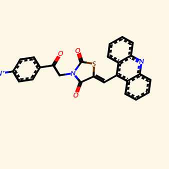 O=C(CN1C(=O)SC(=Cc2c3ccccc3nc3ccccc23)C1=O)c1ccc([N+](=O)[O-])cc1